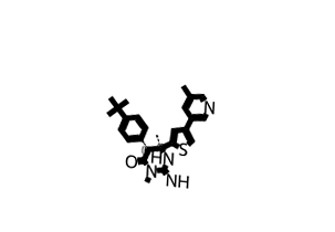 Cc1cncc(-c2csc([C@@]3(C)NC(=N)N(C)C(=O)[C@@H]3c3ccc(C(C)(C)C)cc3)c2)c1